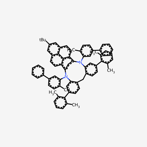 Cc1ccc(-c2ccccc2)cc1N1c2cc(-c3c(C)cccc3C)ccc2Cc2ccc(-c3c(C)cccc3C)cc2N(c2cc(-c3ccccc3)ccc2C)c2cc1c1ccc3cc(C(C)(C)C)cc4ccc2c1c34